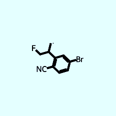 [CH2]C(CF)c1cc(Br)ccc1C#N